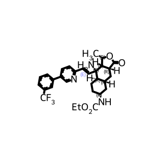 CCOC(=O)N[C@@H]1CC[C@@H]2[C@@H](C1)C[C@H]1C(=O)O[C@H](C)[C@H]1[C@@]2(N)/C=C/c1ccc(-c2cccc(C(F)(F)F)c2)cn1